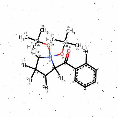 [2H]c1ccccc1C(=O)C1([2H])C([2H])C([2H])([2H])C([2H])[N+]1(O[Si](C)(C)C)O[Si](C)(C)C